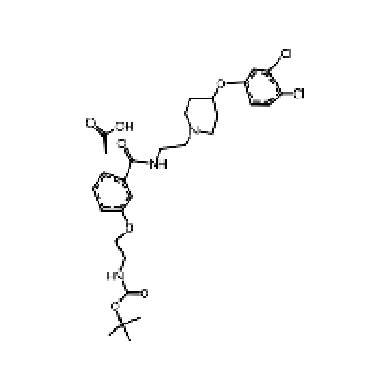 CC(=O)O.CC(C)(C)OC(=O)NCCOc1cccc(C(=O)NCCN2CCC(Oc3ccc(Cl)c(Cl)c3)CC2)c1